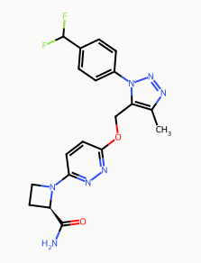 Cc1nnn(-c2ccc(C(F)F)cc2)c1COc1ccc(N2CC[C@@H]2C(N)=O)nn1